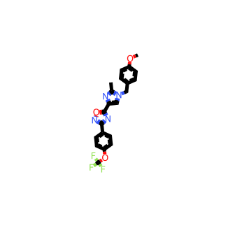 COc1ccc(Cn2cc(-c3nc(-c4ccc(OC(F)(F)F)cc4)no3)nc2C)cc1